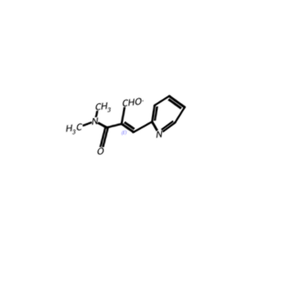 CN(C)C(=O)/C([C]=O)=C/c1ccccn1